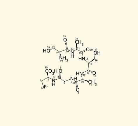 CC(C)C[C@H](NC(=O)CNC(=O)[C@H](C)NC(=O)[C@H](CO)NC(=O)[C@H](C)NC(=O)[C@@H](N)CO)C(=O)O